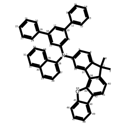 CC1(C)c2ccc(N(c3cc(-c4ccccc4)cc(-c4ccccc4)c3)c3cccc4ccccc34)cc2-c2c1ccc1c2oc2ccccc21